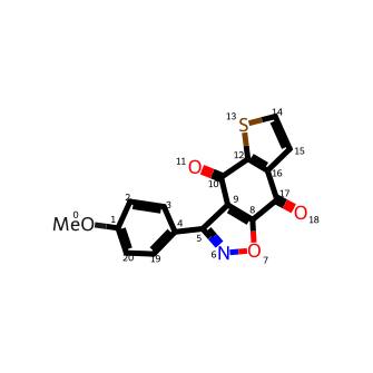 COc1ccc(-c2noc3c2C(=O)c2sccc2C3=O)cc1